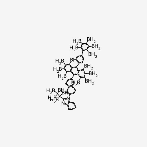 Bc1c(B)c(B)c(-c2ccc(-c3c4c(B)c(B)c(B)c(B)c4c(-c4ccc5cc(-n6c(C(B)(B)C(B)(B)B)nc7ccccc76)ccc5c4)c4c(B)c(B)c(B)c(B)c34)cc2)c(B)c1B